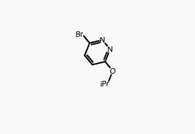 CC(C)Oc1ccc(Br)nn1